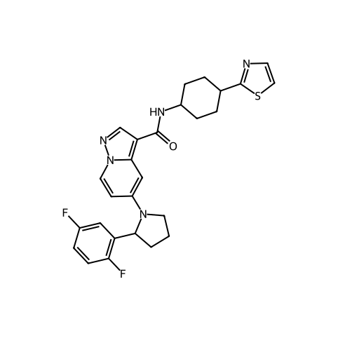 O=C(NC1CCC(c2nccs2)CC1)c1cnn2ccc(N3CCCC3c3cc(F)ccc3F)cc12